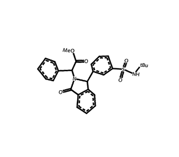 COC(=O)C(c1ccccc1)N1C(=O)c2ccccc2C1c1cccc(S(=O)(=O)NC(C)(C)C)c1